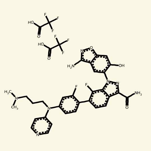 CN(C)CCCN(c1ccncc1)c1ccc(-c2ccc3c(C(N)=O)nn(-c4cc5c(N)noc5cc4O)c3c2F)c(F)c1.O=C(O)C(F)(F)F.O=C(O)C(F)(F)F